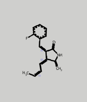 C=C1NC(=O)C(=C\c2ccccc2F)/C1=C/C=C\C